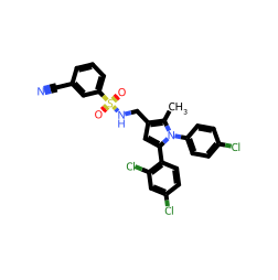 Cc1c(CNS(=O)(=O)c2cccc(C#N)c2)cc(-c2ccc(Cl)cc2Cl)n1-c1ccc(Cl)cc1